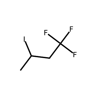 CC(I)CC(F)(F)F